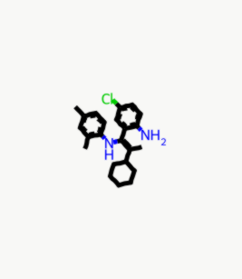 C/C(=C(/Nc1ccc(C)cc1C)c1cc(Cl)ccc1N)C1CCCCC1